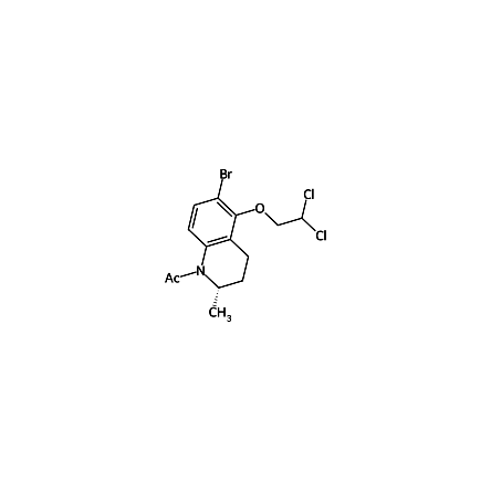 CC(=O)N1c2ccc(Br)c(OCC(Cl)Cl)c2CC[C@@H]1C